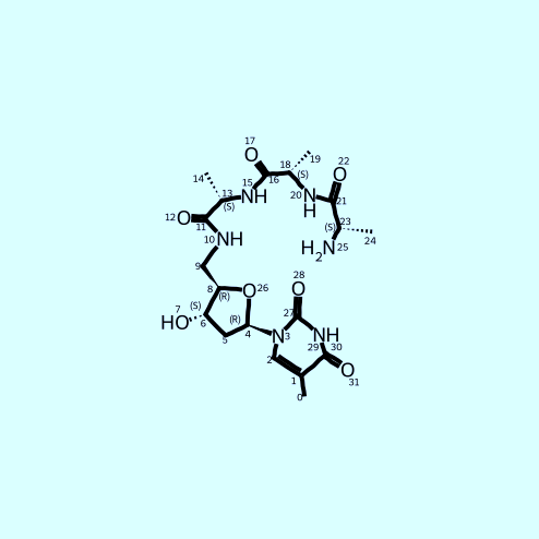 Cc1cn([C@H]2C[C@H](O)[C@@H](CNC(=O)[C@H](C)NC(=O)[C@H](C)NC(=O)[C@H](C)N)O2)c(=O)[nH]c1=O